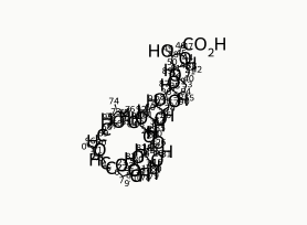 C=C1C[C@@H]2CC[C@@]34C[C@]5(C)O[C@H]6[C@@H](O3)[C@H]3O[C@H](CC[C@@H]3O[C@H]6C5O4)CC(=O)O[C@@H]3[C@@H](C)[C@@H]4O[C@@H]5C[C@]6(C[C@@H]7O[C@]8(C[C@H](C)[C@@H]9O[C@H](CC(=O)O)[C@H](O)C[C@@H]9O8)C[C@H](C)[C@@H]7O6)O[C@@H]5C[C@@H]4O[C@H]3C[C@H]3O[C@@H](CC[C@@H]1O2)C[C@@H](C)C3=C